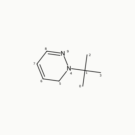 CC(C)(C)N1CC=CC=N1